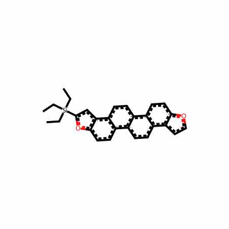 CC[Si](CC)(CC)c1cc2c(ccc3c2ccc2c4ccc5occc5c4ccc32)o1